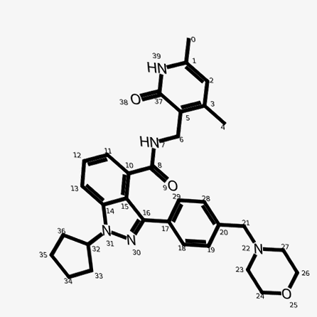 Cc1cc(C)c(CNC(=O)c2cccc3c2c(-c2ccc(CN4CCOCC4)cc2)nn3C2CCCC2)c(=O)[nH]1